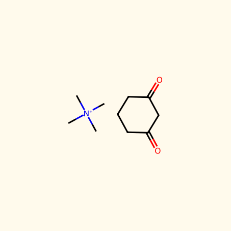 C[N+](C)(C)C.O=C1CCCC(=O)C1